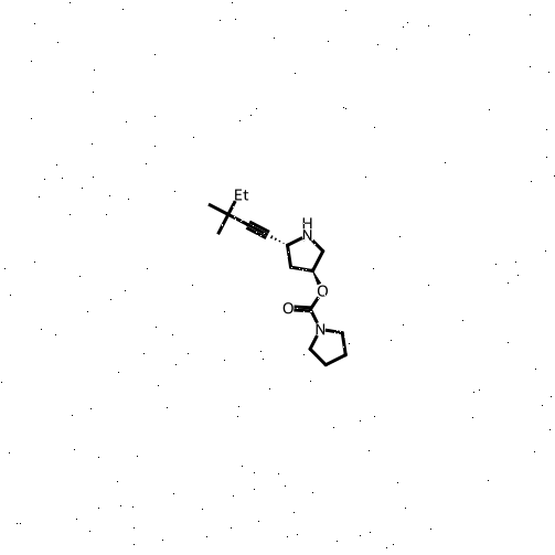 CCC(C)(C)C#C[C@H]1C[C@H](OC(=O)N2CCCC2)CN1